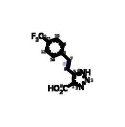 O=C(O)c1nn[nH]c1/C=C/c1ccc(C(F)(F)F)cc1